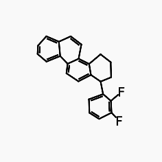 Fc1cccc(C2CCCc3c2ccc2c3ccc3ccccc32)c1F